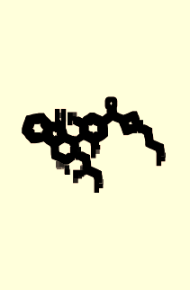 C[C@@H]1Cc2c([nH]c3ccccc23)[C@@H](c2c(F)cc(C(=O)C3CN(CCCF)C3)cc2F)N1C[C@@H](F)CF